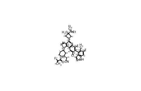 C=C(F)C(=O)N1CC[C@H](n2nnc3c(N4CC(C)(N(C)CC)C4)nc4c(F)c(-c5c(C)c(F)cc6[nH]ncc56)c(Cl)cc4c32)C[C@H]1CC#N